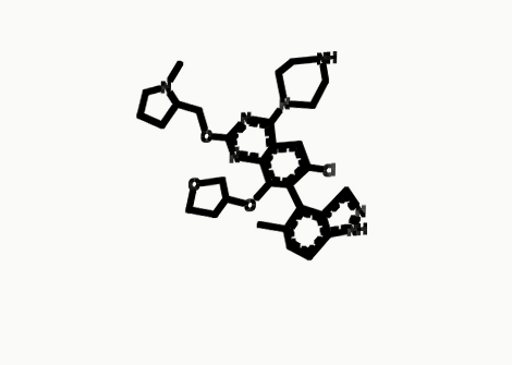 Cc1ccc2[nH]ncc2c1-c1c(Cl)cc2c(N3CCNCC3)nc(OCC3CCCN3C)nc2c1OC1CCOC1